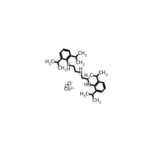 CC(C)c1cccc(C(C)C)c1NCCNCCNc1c(C(C)C)cccc1C(C)C.[Cl-].[Cl-].[Co+2]